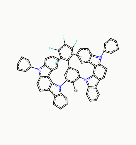 N#Cc1c(-n2c3ccccc3c3ccc4c(c5ccccc5n4-c4ccccc4)c32)cc(-c2c(F)c(F)c(F)c(F)c2F)cc1-n1c2ccccc2c2ccc3c(c4ccccc4n3-c3ccccc3)c21